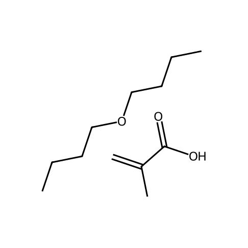 C=C(C)C(=O)O.CCCCOCCCC